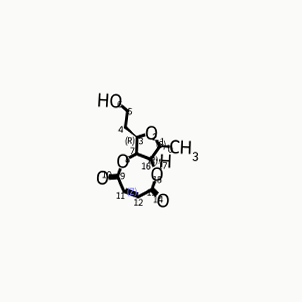 C[C@@H]1O[C@H](CCO)C2OC(=O)/C=C\C(=O)O[C@@H]21